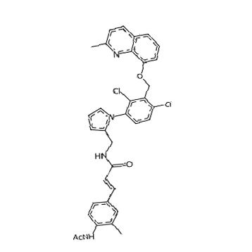 CC(=O)Nc1ccc(C=CC(=O)NCc2cccn2-c2ccc(Cl)c(COc3cccc4ccc(C)nc34)c2Cl)cc1C